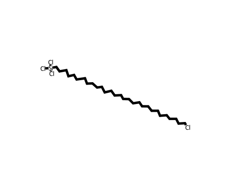 ClCCCCCCCCCCCCCCCCCCCCCCCCCCCCC[Si](Cl)(Cl)Cl